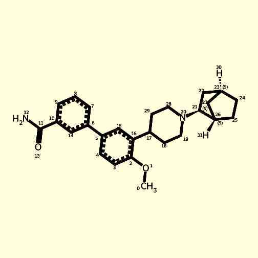 COc1ccc(-c2cccc(C(N)=O)c2)cc1C1CCN([C@H]2C[C@H]3CC[C@H]2C3)CC1